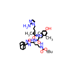 Cc1cc(O)cc(C)c1C[C@H](NC(=O)[C@H](C)CCCn1ccnc1N)C(=O)N[C@@H](CCCNC(=O)OC(C)(C)C)c1nc(C23CC4CC(CC(C4)C2)C3)no1